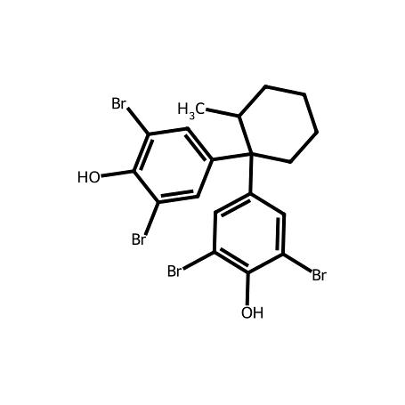 CC1CCCCC1(c1cc(Br)c(O)c(Br)c1)c1cc(Br)c(O)c(Br)c1